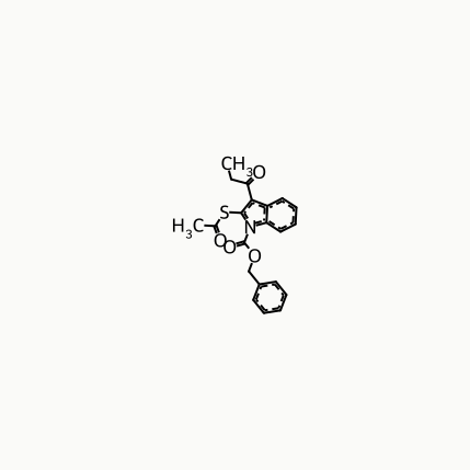 CCC(=O)c1c(SC(C)=O)n(C(=O)OCc2ccccc2)c2ccccc12